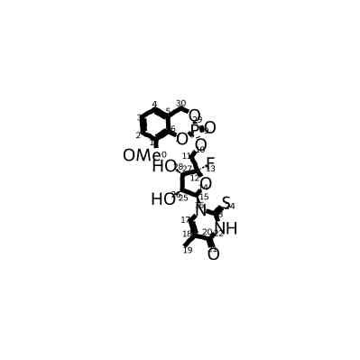 COc1cccc2c1OP(=O)(OC[C@@]1(F)O[C@@H](n3cc(C)c(=O)[nH]c3=S)[C@H](O)[C@@H]1O)OC2